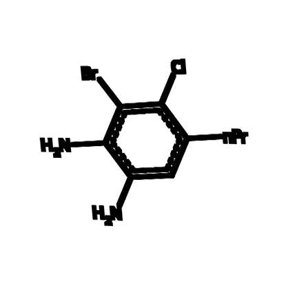 CCCc1cc(N)c(N)c(Br)c1Cl